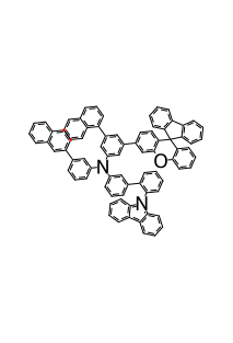 c1cc(-c2ccc3ccccc3c2)cc(N(c2cccc(-c3ccccc3-n3c4ccccc4c4ccccc43)c2)c2cc(-c3ccc4c(c3)Oc3ccccc3C43c4ccccc4-c4ccccc43)cc(-c3cccc4ccccc34)c2)c1